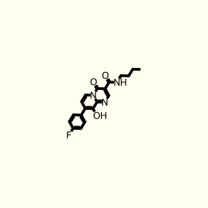 CCCCNC(=O)c1cnc2c(O)c(-c3ccc(F)cc3)ccn2c1=O